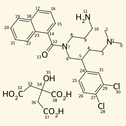 CN(C)CCC(CN(CCCN)C(=O)c1cccc2ccccc12)c1ccc(Cl)c(Cl)c1.O=C(O)CC(O)(CC(=O)O)C(=O)O